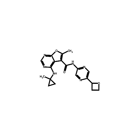 Cc1oc2ncnc(NC3(C)CC3)c2c1C(=O)Nc1cnc(C2CCO2)cn1